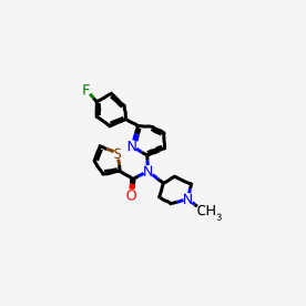 CN1CCC(N(C(=O)c2cccs2)c2cccc(-c3ccc(F)cc3)n2)CC1